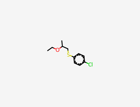 CCOC(C)CSc1ccc(Cl)cc1